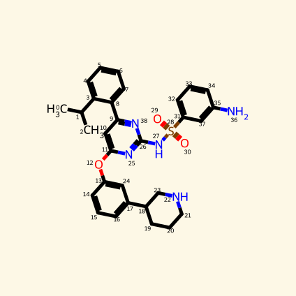 CC(C)c1ccccc1-c1cc(Oc2cccc(C3CCCNC3)c2)nc(NS(=O)(=O)c2cccc(N)c2)n1